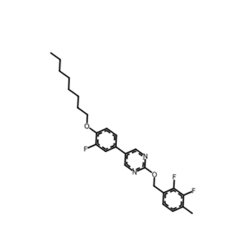 CCCCCCCCOc1ccc(-c2cnc(OCc3ccc(C)c(F)c3F)nc2)cc1F